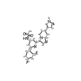 Cn1cc(-c2ccn3c(-c4cc(NS(C)(=O)=O)cc(-c5ccc(F)cc5F)n4)cnc3c2)cn1